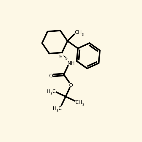 CC(C)(C)OC(=O)N[C@@H]1CCCCC1(C)c1ccccc1